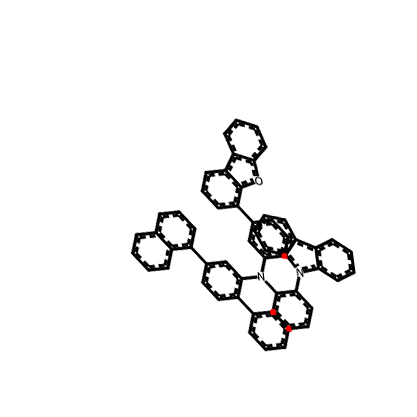 c1ccc(-c2ccc(-c3cccc4ccccc34)cc2N(c2cccc(-c3cccc4c3oc3ccccc34)c2)c2ccccc2-n2c3ccccc3c3ccccc32)cc1